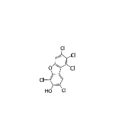 Oc1c(Cl)cc2c(oc3cc(Cl)c(Cl)c(Cl)c32)c1Cl